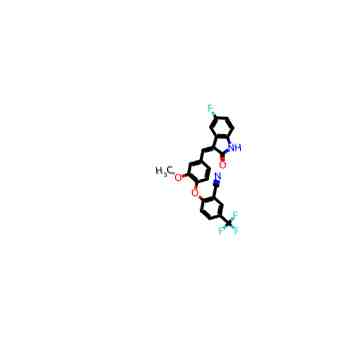 COc1cc(C=C2C(=O)Nc3ccc(F)cc32)ccc1Oc1ccc(C(F)(F)F)cc1C#N